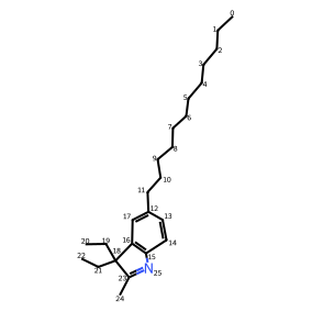 CCCCCCCCCCCCc1ccc2c(c1)C(CC)(CC)C(C)=N2